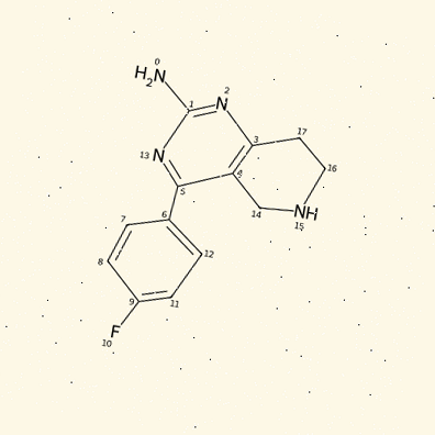 Nc1nc2c(c(-c3ccc(F)cc3)n1)CNCC2